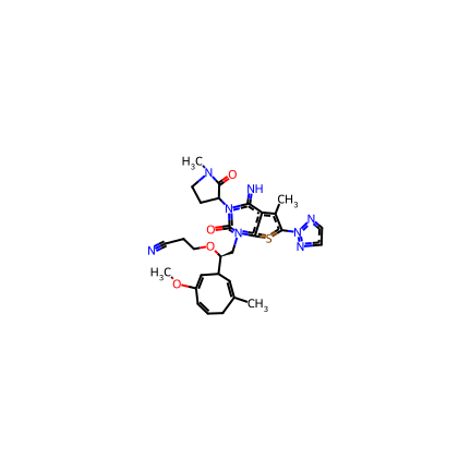 COC1=CC([C@H](Cn2c(=O)n(C3CCN(C)C3=O)c(=N)c3c(C)c(-n4nccn4)sc32)OCCC#N)/C=C(/C)C/C=C\1